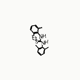 CCc1cccc(C)c1NC(=S)Nc1c(C)cccc1C